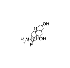 C[C@]12CC[C@H]3[C@@H]([C@@H](O)CC4C[C@@H](O)C=C[C@@]43C)[C@@H]1C=C(F)[C@@H]2N